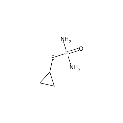 NP(N)(=O)SC1CC1